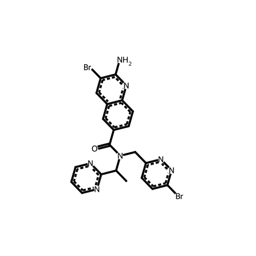 CC(c1ncccn1)N(Cc1ccc(Br)nn1)C(=O)c1ccc2nc(N)c(Br)cc2c1